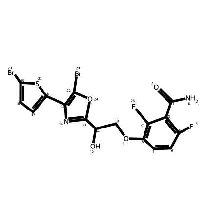 NC(=O)c1c(F)ccc(OCC(O)c2nc(-c3ccc(Br)s3)c(Br)o2)c1F